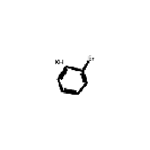 Brc1cc[c]cc1.[KH]